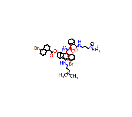 CN(C)CCCNC(=O)C1C2CCC(C(OC(=O)c3cccc4c(Br)cccc34)C2)C1C(=O)NC(=O)C1C2CCC(CC2OC(=O)c2cccc3c(Br)cccc23)C1C(=O)NCCCN(C)C